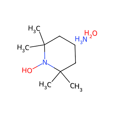 CC1(C)CCCC(C)(C)N1O.N.O